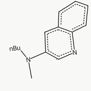 CCCCN(C)c1[c]nc2ccccc2c1